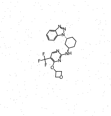 FC(F)(F)c1cnc(N[C@@H]2CCC[C@@H](n3nnc4ccccc43)C2)nc1OC1COC1